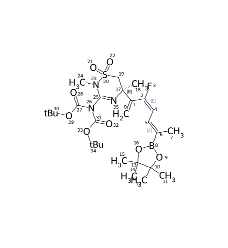 C=C(/C(F)=C\C=C(/C)B1OC(C)(C)C(C)(C)O1)[C@]1(C)CS(=O)(=O)N(C)C(N(C(=O)OC(C)(C)C)C(=O)OC(C)(C)C)=N1